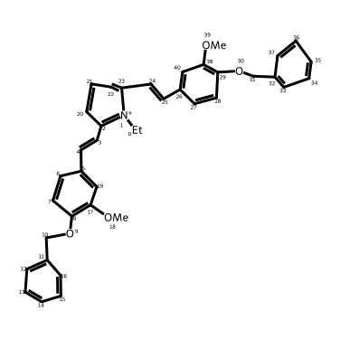 CC[n+]1c(/C=C/c2ccc(OCc3ccccc3)c(OC)c2)cccc1/C=C/c1ccc(OCc2ccccc2)c(OC)c1